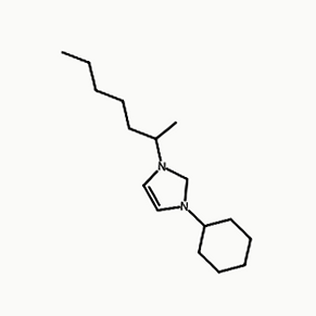 CCCCCC(C)N1C=CN(C2CCCCC2)C1